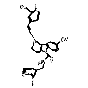 N#Cc1ccc2c(c1)c1c(n2C(=O)NCc2ccnc(F)c2)CCN(CC=Cc2ccc(F)c(Br)c2)C1